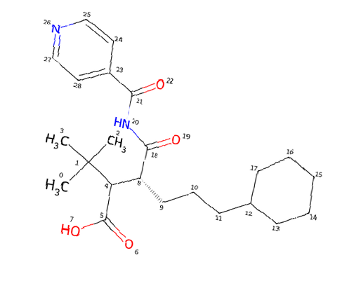 CC(C)(C)C(C(=O)O)[C@@H](CCCC1CCCCC1)C(=O)NC(=O)c1ccncc1